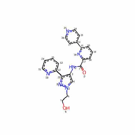 O=C(Nc1cn(CCO)nc1-c1ccccn1)c1cccc(-c2ccncc2)n1